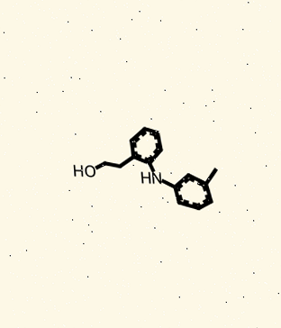 Cc1cccc(Nc2ccccc2CCO)c1